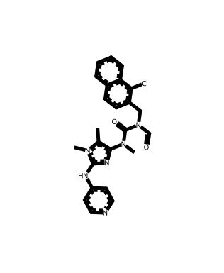 Cc1c(N(C)C(=O)N(C=O)Cc2ccc3ccccc3c2Cl)nc(Nc2ccncc2)n1C